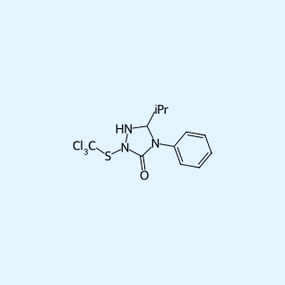 CC(C)C1NN(SC(Cl)(Cl)Cl)C(=O)N1c1ccccc1